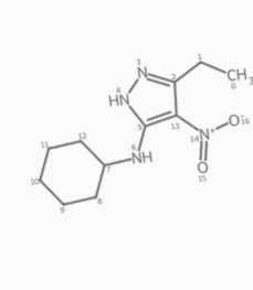 CCc1n[nH]c(NC2CCCCC2)c1[N+](=O)[O-]